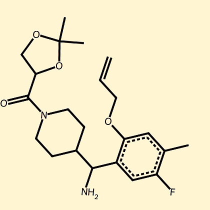 C=CCOc1cc(C)c(F)cc1C(N)C1CCN(C(=O)C2COC(C)(C)O2)CC1